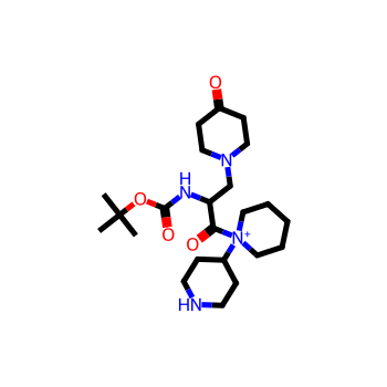 CC(C)(C)OC(=O)NC(CN1CCC(=O)CC1)C(=O)[N+]1(C2CCNCC2)CCCCC1